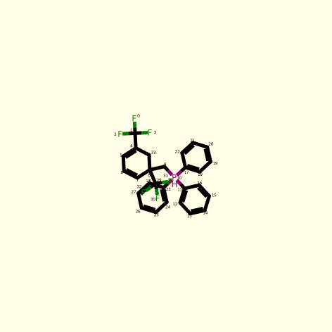 FC(F)(F)C1=CC=CC(C[PH](c2ccccc2)(c2ccccc2)c2ccccc2)(C(F)(F)F)C1